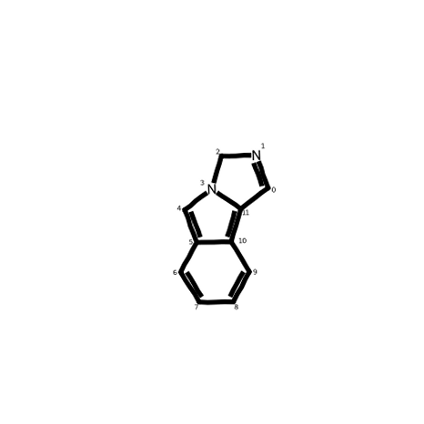 C1=NCn2cc3ccccc3c21